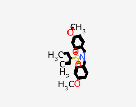 C=CC(CC)S(=O)(=O)N(Cc1ccc(OC)cc1)Cc1ccc(OC)cc1